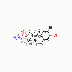 CCc1cc2c(cc1O)CC[C@@H]1[C@@H]2CC[C@@]2(C)[C@H]1CC[C@@]2(N)O